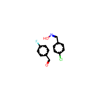 O/N=C\c1ccc(Cl)cc1.O=Cc1ccc(F)cc1